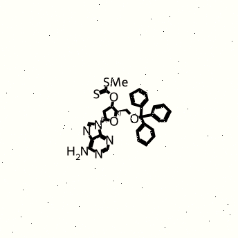 CSC(=S)OC1C[C@H](n2cnc3c(N)ncnc32)O[C@@H]1COC(c1ccccc1)(c1ccccc1)c1ccccc1